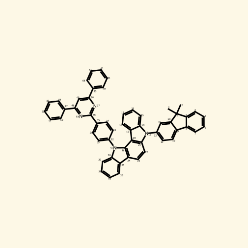 CC1(C)c2ccccc2-c2ccc(-n3c4ccccc4c4c3ccc3c5ccccc5n(-c5ccc(-c6nc(-c7ccccc7)cc(-c7ccccc7)n6)cc5)c34)cc21